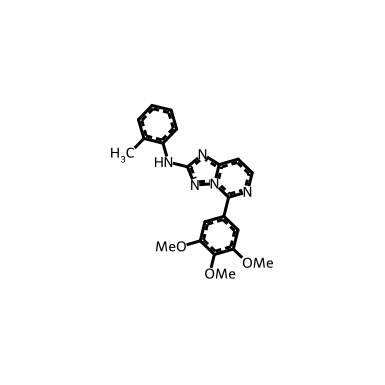 COc1cc(-c2nccc3nc(Nc4ccccc4C)nn23)cc(OC)c1OC